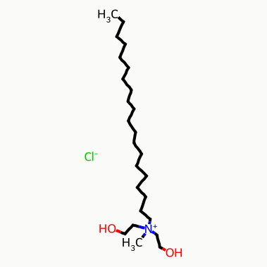 CCCCCCCCCCCCCCCCCCCC[N+](C)(CCO)CCO.[Cl-]